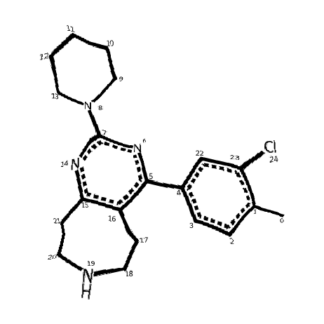 Cc1ccc(-c2nc(N3CCCCC3)nc3c2CCNCC3)cc1Cl